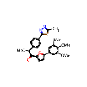 COc1cc(-c2ccc(C(=O)C(OC)c3ccc(-c4nnc(C)s4)cc3)o2)cc(OC)c1OC